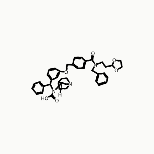 O=C(c1ccc(COc2cccc(C(c3ccccc3)N(C(=O)O)[C@H]3CN4CCC3CC4)c2)cc1)N(CCC1OCCO1)Cc1ccccc1